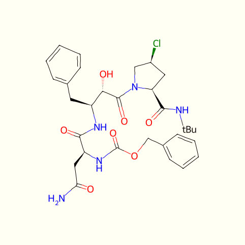 CC(C)(C)NC(=O)[C@@H]1C[C@H](Cl)CN1C(=O)[C@@H](O)[C@H](Cc1ccccc1)NC(=O)[C@H](CC(N)=O)NC(=O)OCc1ccccc1